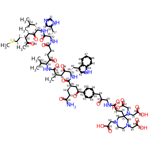 CSCC[C@H](CC(=O)[C@H](CC(C)C)NC(=O)[C@H](Cc1cnc[nH]1)NC(=O)CCC(=O)[C@@H](NC(=O)[C@H](C)CC(=O)[C@H](Cc1c[nH]c2ccccc12)NC(=O)[C@H](CCC(N)=O)CC(=O)c1ccc(CC(=O)CNC(=O)CCC2(N(CC(=O)O)CC(=O)O)CN(CC(=O)O)CCN(CC(=O)O)C2)cc1)C(C)C)C(C)=O